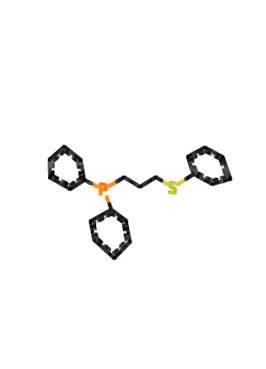 c1ccc(SCCCP(c2ccccc2)c2ccccc2)cc1